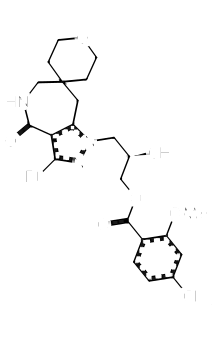 CCc1nn(C[C@@H](C)COC(=O)c2ccc(C)cc2OC)c2c1C(=O)NCC1(CCOCC1)C2